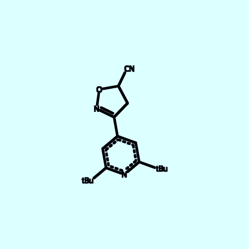 CC(C)(C)c1cc(C2=NOC(C#N)C2)cc(C(C)(C)C)n1